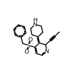 CC#CC1N=CC=C(S(=O)(=O)Cc2ccccc2)C1=C1CCNCC1